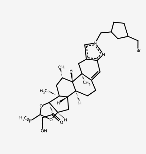 C=PC1O[C@@H]2C[C@H]3[C@@H]4CCC5=Cc6nn(CC7CCC(CBr)C7)cc6C[C@]5(C)[C@H]4[C@@H](O)C[C@]3(C)[C@]2(C(=O)CO)O1